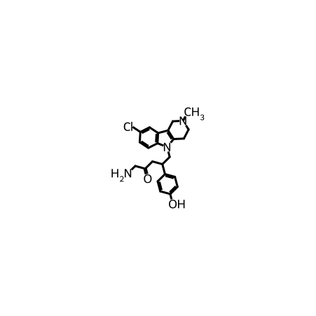 CN1CCc2c(c3cc(Cl)ccc3n2CC(CC(=O)CN)c2ccc(O)cc2)C1